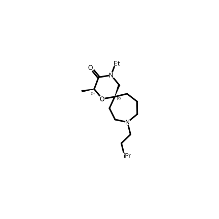 CCN1C[C@]2(CCCN(CCC(C)C)CC2)O[C@@H](C)C1=O